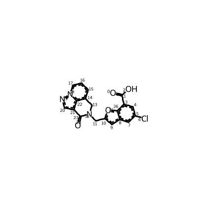 O=C(O)c1cc(Cl)cc2cc(CN3Cc4cccn5ncc(c45)C3=O)oc12